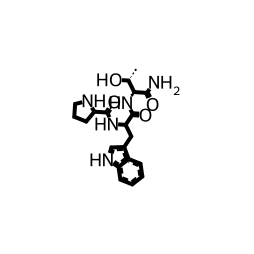 C[C@@H](O)[C@H](NC(=O)C(Cc1c[nH]c2ccccc12)NC(=O)C1CCCN1)C(N)=O